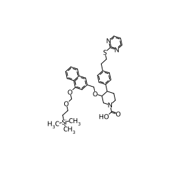 C[Si](C)(C)CCOCOc1cc(COC2CN(C(=O)O)CCC2c2ccc(CCSc3ncccn3)cc2)cc2ccccc12